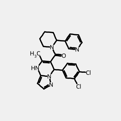 CC1=C(C(=O)N2CCCCC2c2cccnc2)C(c2ccc(Cl)c(Cl)c2)n2nccc2N1